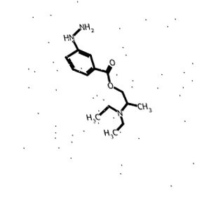 CCN(CC)C(C)COC(=O)c1cccc(NN)c1